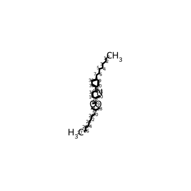 CCCCCCCCc1ccc(-c2ccc([C@H]3OC[C@H](CCCCCCCC)CO3)cn2)cc1